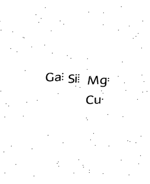 [Cu].[Ga].[Mg].[Si]